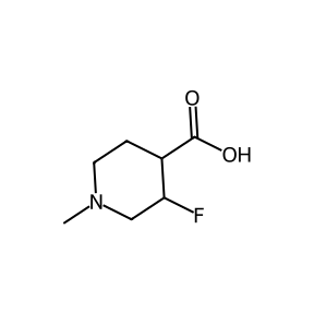 CN1CCC(C(=O)O)C(F)C1